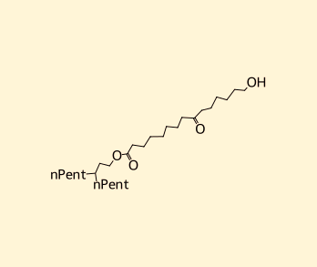 CCCCCC(CCCCC)CCOC(=O)CCCCCCCC(=O)CCCCCCO